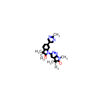 Cc1ncc(-c2ccc3c(c2)N(c2cc4c(nn2)N(C)C(=O)C4(C)C)C(=O)C3(C)C)cn1